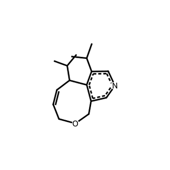 CC(C)c1cncc2c1C(C(C)C)/C=C\COC2